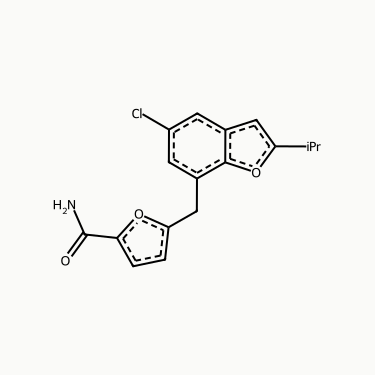 CC(C)c1cc2cc(Cl)cc(Cc3ccc(C(N)=O)o3)c2o1